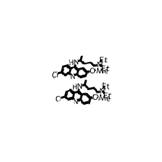 CCN(CC)CCCC(C)Nc1c2ccc(Cl)cc2nc2ccc(OC)cc12.CCN(CC)CCCC(C)Nc1c2ccc(Cl)cc2nc2ccc(OC)cc12